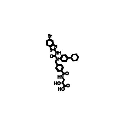 O=C(NC[C@@H](O)C(=O)O)c1ccc(CN(C(=O)Nc2nc3cc(Br)ccc3s2)c2ccc(C3CCCCC3)cc2)cc1